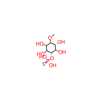 CO[C@H]1[C@H](O)[C@@H](O)[C@H](OP(O)(O)=S)[C@@H](O)[C@H]1O